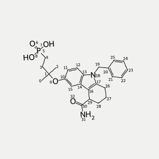 CC(C)(CCP(=O)(O)O)Oc1ccc2c(c1)c1c(n2Cc2ccccc2)CCCC1C(N)=O